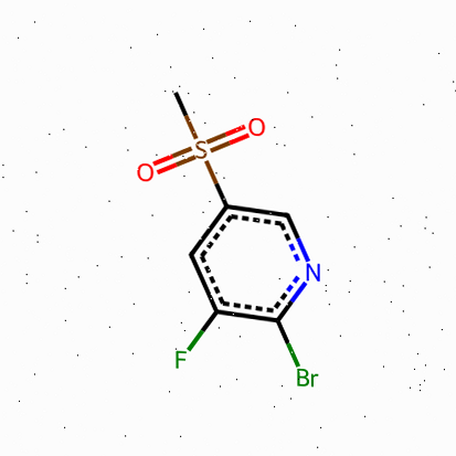 CS(=O)(=O)c1cnc(Br)c(F)c1